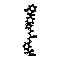 CNS(=O)(=O)c1cccc(OCC(O)CNC2COC3(CCN(S(=O)(=O)c4ccccc4C#N)CC3)C2)c1